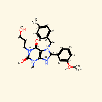 Cn1c2c(c(=O)n(CCCO)c1=O)N(Cc1ccc(C#N)cc1)C(c1cccc(OC(F)(F)F)c1)N2